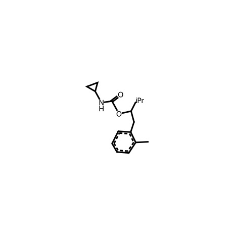 Cc1ccccc1CC(OC(=O)NC1CC1)C(C)C